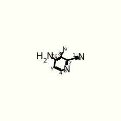 N#Cc1nccc(N)c1I